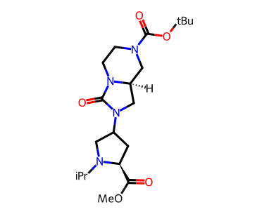 COC(=O)[C@@H]1CC(N2C[C@@H]3CN(C(=O)OC(C)(C)C)CCN3C2=O)CN1C(C)C